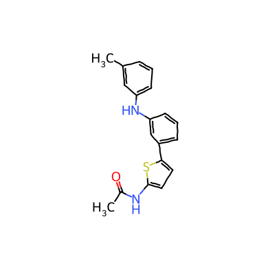 CC(=O)Nc1ccc(-c2cccc(Nc3cccc(C)c3)c2)s1